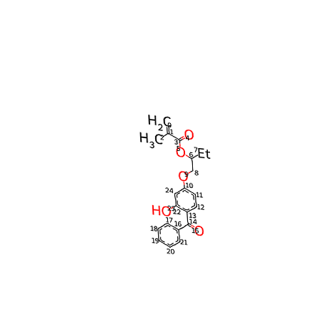 C=C(C)C(=O)OC(CC)COc1ccc(C(=O)c2ccccc2)c(O)c1